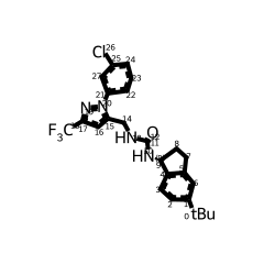 CC(C)(C)c1ccc2c(c1)CC[C@H]2NC(=O)NCc1cc(C(F)(F)F)nn1-c1cccc(Cl)c1